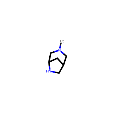 CCN1CC2CNC(C2)C1